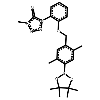 Cc1cc(B2OC(C)(C)C(C)(C)O2)c(C)cc1COc1ccccc1-n1nnn(C)c1=O